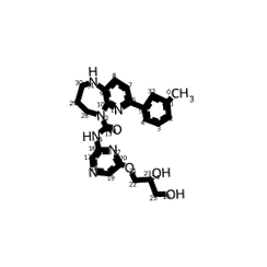 Cc1cccc(-c2ccc3c(n2)N(C(=O)Nc2cncc(OCC(O)CO)n2)CCCN3)c1